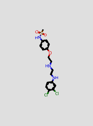 CS(=O)(=O)Nc1ccc(OCCNCCNc2ccc(Cl)c(Cl)c2)cc1